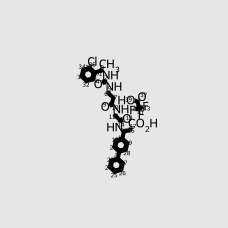 CC(NC(=O)NCCC(=O)NCC(=O)NC(CC(=O)O)c1ccc(-c2ccccc2)cc1)c1ccccc1Cl.O=C(O)C(F)(F)F